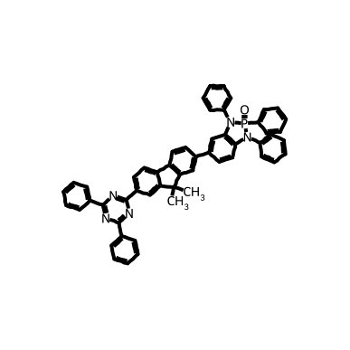 CC1(C)c2cc(-c3ccc4c(c3)N(c3ccccc3)P(=O)(c3ccccc3)N4c3ccccc3)ccc2-c2ccc(-c3nc(-c4ccccc4)nc(-c4ccccc4)n3)cc21